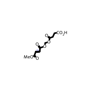 COC(=O)/C=C/C(=O)OCOC(=O)CCC(=O)O